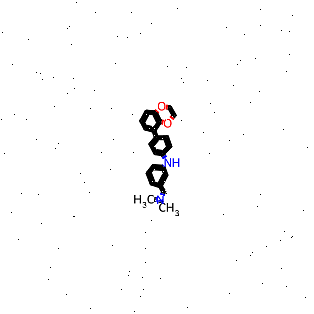 CN(C)Cc1cccc(Nc2ccc(-c3cccc4c3OCCO4)cc2)c1